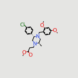 COC(=O)CCN1C[C@H](c2ccc(Cl)cc2)N(Cc2ccc(OC)cc2OC)C[C@H]1C